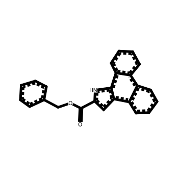 O=C(OCc1ccccc1)c1cc2c3ccccc3c3ccccc3c2[nH]1